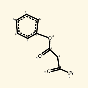 CC(C)C(=O)CC(=O)Oc1ccccc1